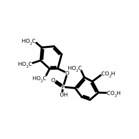 O=C(O)c1ccc(OP(=O)(O)c2ccc(C(=O)O)c(C(=O)O)c2C(=O)O)c(C(=O)O)c1C(=O)O